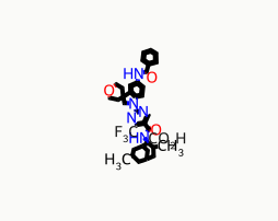 CC1CC2CC(C)C(NC(=O)c3cnc(N4CC5(CCOCC5)c5cc(NC(=O)c6ccccc6)ccc54)nc3C(F)(F)F)(C(=O)O)C(C1)C2